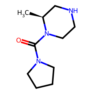 C[C@H]1CNCCN1C(=O)N1CCCC1